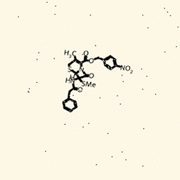 CSC1(NC(=O)Cc2ccccc2)C(=O)N2C(C(=O)OCc3ccc([N+](=O)[O-])cc3)=C(C)CS[C@H]21